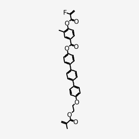 C=C(C)C(=O)OCCOc1ccc(-c2ccc(-c3ccc(OC(=O)c4ccc(OC(=O)C(=C)F)c(C)c4)cc3)cc2)cc1